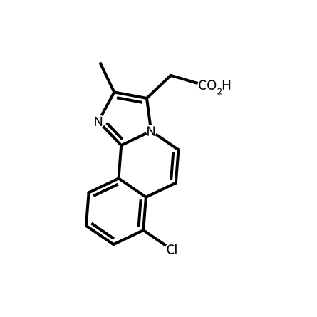 Cc1nc2c3cccc(Cl)c3ccn2c1CC(=O)O